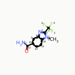 Cn1c(C(F)(F)F)nc2cc(C(N)=O)ccc21